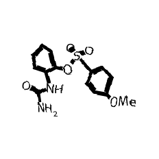 COc1ccc(S(=O)(=O)Oc2ccccc2NC(N)=O)cc1